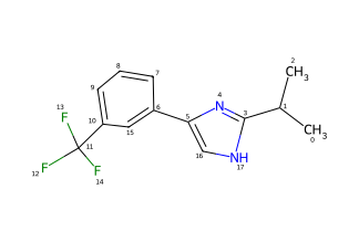 CC(C)c1nc(-c2cccc(C(F)(F)F)c2)c[nH]1